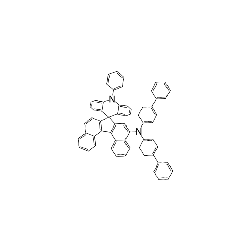 C1=C(c2ccccc2)CCC(N(C2=CC=C(c3ccccc3)CC2)c2cc3c(c4ccccc24)-c2c(ccc4ccccc24)C32c3ccccc3N(c3ccccc3)c3ccccc32)=C1